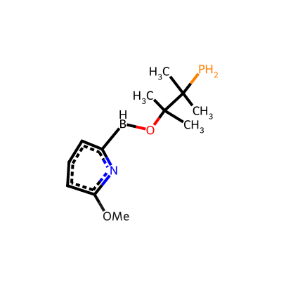 COc1cccc(BOC(C)(C)C(C)(C)P)n1